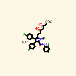 CC(C)n1c(CC[C@@H](O)C[C@@H](O)CC(=O)[O-])c(-c2ccc(F)cc2)c(-c2ccc(F)cc2)c1C(=O)Nc1ccc(F)cc1F.[Na+]